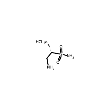 CC(C)[C@@H](CN)S(N)(=O)=O.Cl